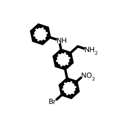 NCc1cc(-c2cc(Br)ccc2[N+](=O)[O-])ccc1Nc1ccccc1